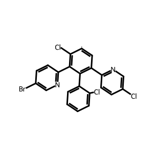 Clc1ccc(-c2c[c]c(Cl)c(-c3ccc(Br)cn3)c2-c2ccccc2Cl)nc1